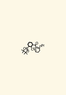 CCC[C@@H]1CCCCN1C(=O)c1cccc(B2OC(C)(C)C(C)(C)O2)c1C(F)(F)F